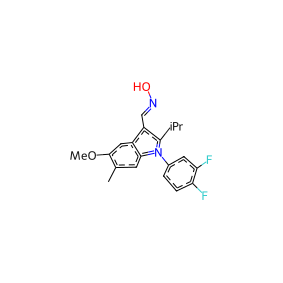 COc1cc2c(C=NO)c(C(C)C)n(-c3ccc(F)c(F)c3)c2cc1C